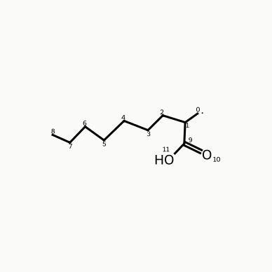 [CH2]C(CCCCCCC)C(=O)O